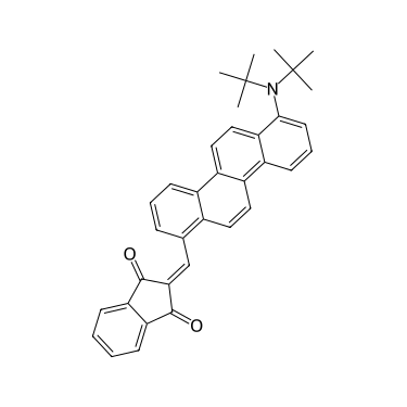 CC(C)(C)N(c1cccc2c1ccc1c3cccc(C=C4C(=O)c5ccccc5C4=O)c3ccc21)C(C)(C)C